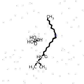 CCCCCCCC/C=C\CCCCCCCC(=O)NCCN(CC)CC.O=P(O)(O)O